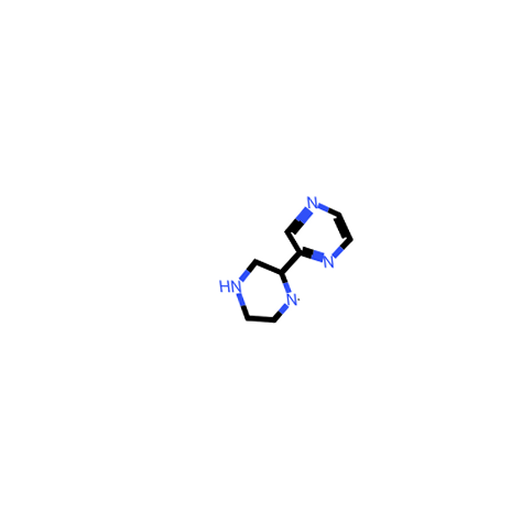 c1cnc(C2CNCC[N]2)cn1